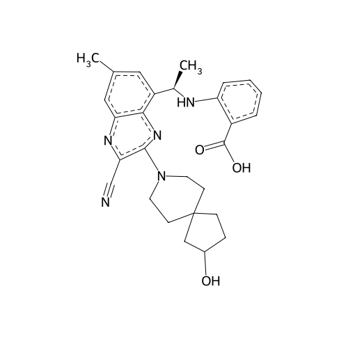 Cc1cc([C@@H](C)Nc2ccccc2C(=O)O)c2nc(N3CCC4(CCC(O)C4)CC3)c(C#N)nc2c1